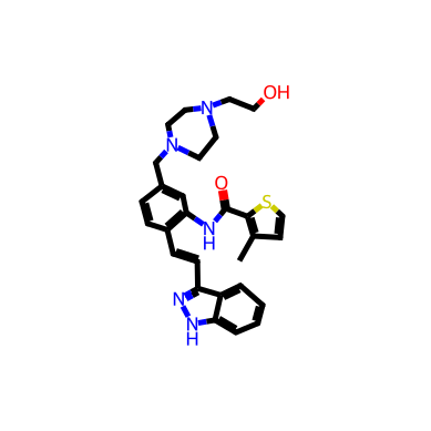 Cc1ccsc1C(=O)Nc1cc(CN2CCN(CCO)CC2)ccc1C=Cc1n[nH]c2ccccc12